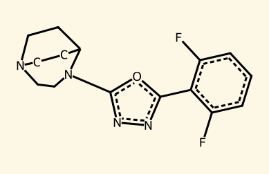 Fc1cccc(F)c1-c1nnc(N2CCN3CCC2CC3)o1